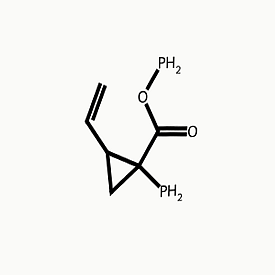 C=CC1CC1(P)C(=O)OP